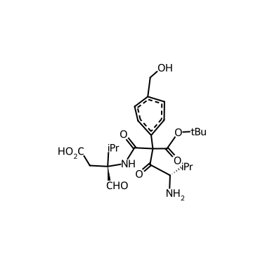 CC(C)[C@H](N)C(=O)C(C(=O)N[C@](C=O)(CC(=O)O)C(C)C)(C(=O)OC(C)(C)C)c1ccc(CO)cc1